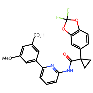 COc1cc(C(=O)O)cc(-c2cccc(NC(=O)C3(c4ccc5c(c4)OC(F)(F)O5)CC3)n2)c1